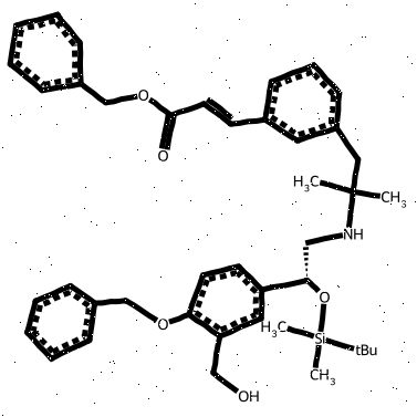 CC(C)(Cc1cccc(C=CC(=O)OCc2ccccc2)c1)NC[C@H](O[Si](C)(C)C(C)(C)C)c1ccc(OCc2ccccc2)c(CO)c1